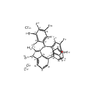 CC1=C(B(c2c(F)c(F)c(F)c(F)c2F)c2c(F)c(F)c(F)c(F)c2F)c2c(-c3ccccc3)cccc2[CH]1[Zr+3].[Cl-].[Cl-].[Cl-]